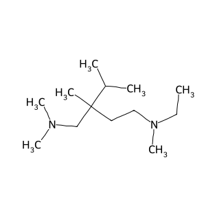 CCN(C)CCC(C)(CN(C)C)C(C)C